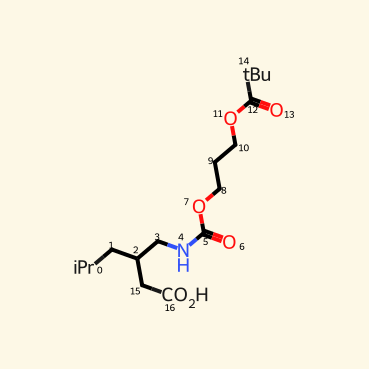 CC(C)CC(CNC(=O)OCCCOC(=O)C(C)(C)C)CC(=O)O